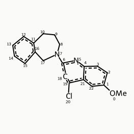 COc1ccc2nc(N3CCCc4ccccc4C3)cc(Cl)c2c1